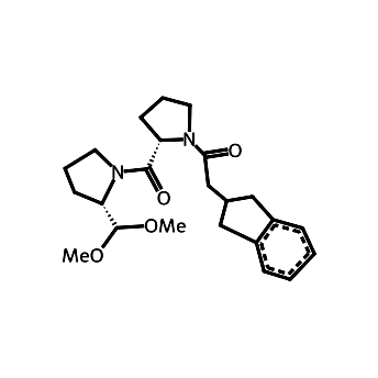 COC(OC)[C@@H]1CCCN1C(=O)[C@@H]1CCCN1C(=O)CC1Cc2ccccc2C1